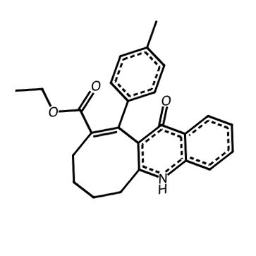 CCOC(=O)C1=C(c2ccc(C)cc2)c2c([nH]c3ccccc3c2=O)CCCC1